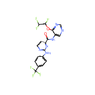 O=C(Nc1cncnc1OC(F)C(F)F)c1ccnc(Nc2ccc(C(F)(F)F)cc2)n1